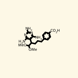 COC(OC)C(CCCc1ccc(C(=O)O)cc1)c1c(N)nc(N)nc1N